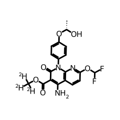 [2H]C([2H])([2H])OC(=O)c1c(N)c2ccc(OC(F)F)nc2n(-c2ccc(O[C@H](C)O)cc2)c1=O